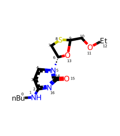 CCCCNc1ccn([C@@H]2CSC(COCC)O2)c(=O)n1